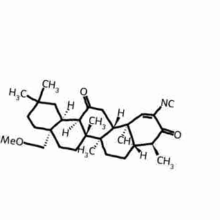 [C-]#[N+]C1=C[C@]2(C)[C@H]3CC(=O)[C@@H]4[C@@H]5CC(C)(C)CC[C@]5(COC)CC[C@@]4(C)[C@]3(C)CC[C@H]2[C@H](C)C1=O